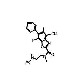 CC(=O)N(C)CCN(C)C(=O)c1nc2c(C#N)c(C)c(-c3ccccc3)c(F)c2o1